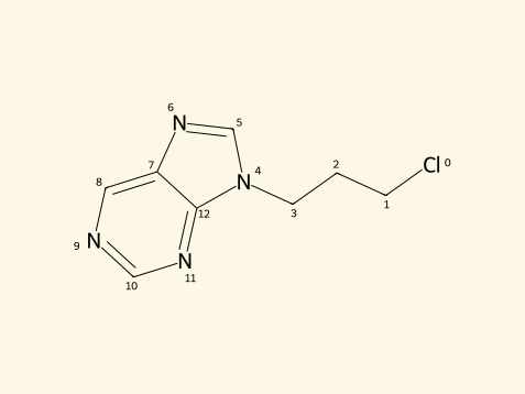 ClCCCn1cnc2cncnc21